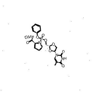 COC(=O)[C@@H]1CCCN1P(=O)(OC[C@@H]1OC[C@H](n2cc(C)c(=O)[nH]c2=O)O1)Oc1ccccc1